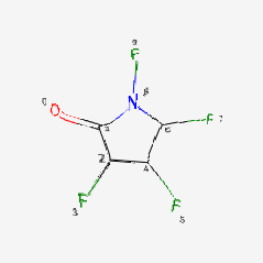 O=C1C(F)C(F)C(F)N1F